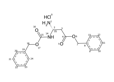 Cl.N[C@H](CC(=O)OCc1ccccc1)NC(=O)OCc1ccccc1